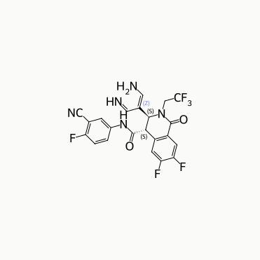 N#Cc1cc(NC(=O)[C@H]2c3cc(F)c(F)cc3C(=O)N(CC(F)(F)F)[C@@H]2/C(C=N)=C/N)ccc1F